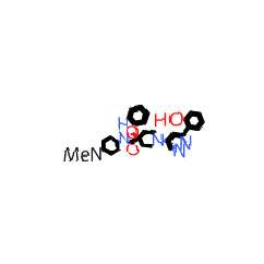 CNC1CCC(NC(=O)C2(Oc3ccccc3)CCN(c3cnnc(-c4ccccc4O)c3)CC2)CC1